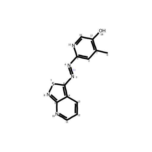 Cc1cc(/N=N/c2snc3ncccc23)ncc1O